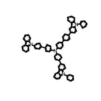 c1ccc(-n2c3ccccc3c3cc(-c4ccc(-c5ccc(N(c6ccc(-c7ccc(-n8c9ccccc9c9ccccc98)cc7)cc6)c6ccc(-c7ccc8c(c7)c7ccccc7n8-c7ccccc7)cc6)cc5)cc4)ccc32)cc1